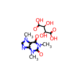 Cn1c(=O)c2c(ncn2C)n(C)c1=O.O=C(O)C(O)C(O)C(=O)O